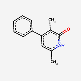 Cc1cc(-c2ccccc2)c(C)c(=O)[nH]1